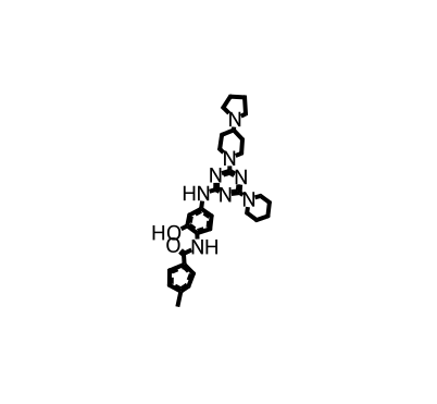 Cc1ccc(C(=O)Nc2ccc(Nc3nc(N4CCCCC4)nc(N4CCC(N5CCCC5)CC4)n3)cc2O)cc1